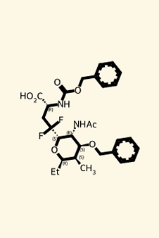 CC[C@H]1O[C@H](C(F)(F)C[C@@H](NC(=O)OCc2ccccc2)C(=O)O)[C@H](NC(C)=O)[C@@H](OCc2ccccc2)[C@H]1C